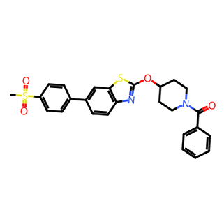 CS(=O)(=O)c1ccc(-c2ccc3nc(OC4CCN(C(=O)c5ccccc5)CC4)sc3c2)cc1